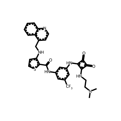 CN(C)CCNc1c(Nc2cc(NC(=O)c3sccc3NCc3ccnc4ccccc34)cc(C(F)(F)F)c2)c(=O)c1=O